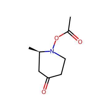 CC(=O)ON1CCC(=O)C[C@H]1C